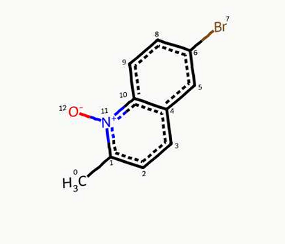 Cc1ccc2cc(Br)ccc2[n+]1[O-]